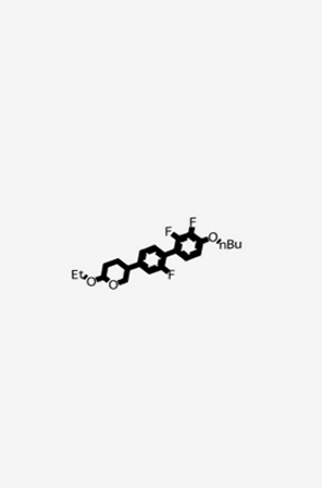 CCCCOc1ccc(-c2ccc(C3CCC(OCC)OC3)cc2F)c(F)c1F